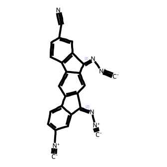 [C-]#[N+]/N=c1/c2cc(C#N)ccc2c2cc3c(cc12)/c(=N/[N+]#[C-])c1cc([N+]#[C-])ccc13